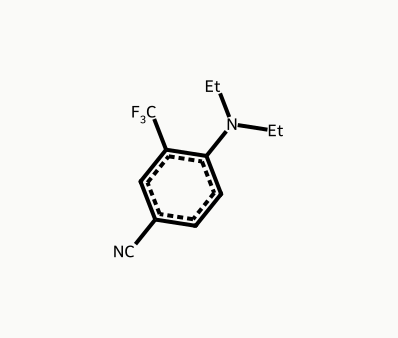 CCN(CC)c1ccc(C#N)cc1C(F)(F)F